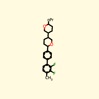 CCCC1CCC(C2CCC(c3ccc(-c4ccc(C)c(F)c4F)cc3)OC2)CO1